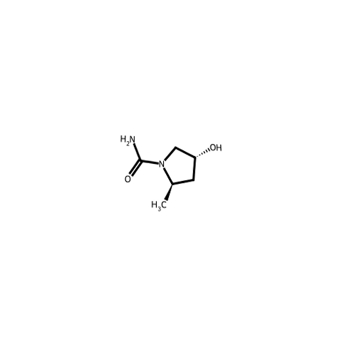 C[C@@H]1C[C@@H](O)CN1C(N)=O